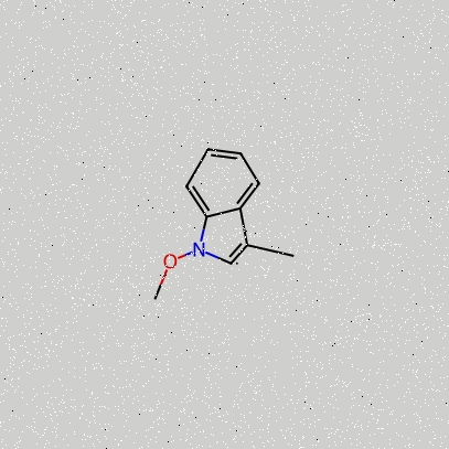 COn1[c]c(C)c2ccccc21